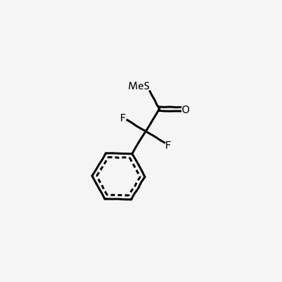 CSC(=O)C(F)(F)c1ccccc1